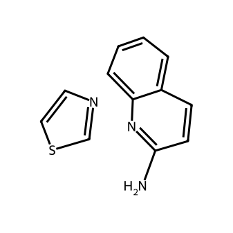 Nc1ccc2ccccc2n1.c1cscn1